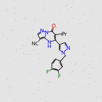 CC(C)c1c(-c2cnn(Cc3ccc(F)c(F)c3)c2)[nH]c2c(C#N)cnn2c1=O